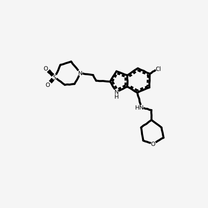 O=S1(=O)CCN(CCc2cc3cc(Cl)cc(NCC4CCOCC4)c3[nH]2)CC1